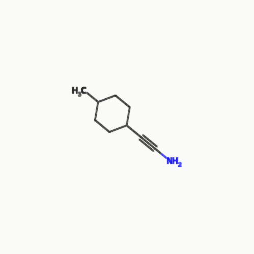 CC1CCC(C#CN)CC1